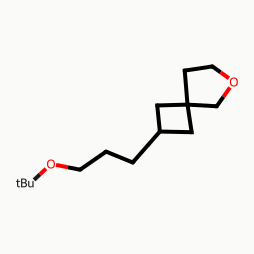 CC(C)(C)OCCCC1CC2(CCOC2)C1